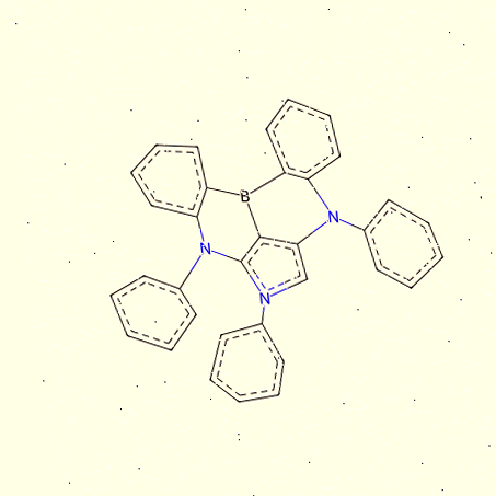 c1ccc(N2c3ccccc3B3c4ccccc4N(c4ccccc4)c4c3c2cn4-c2ccccc2)cc1